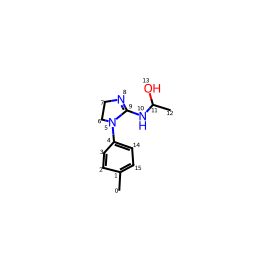 Cc1ccc(N2CCN=C2NC(C)O)cc1